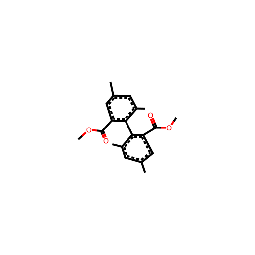 COC(=O)c1cc(C)cc(C)c1-c1c(C)cc(C)cc1C(=O)OC